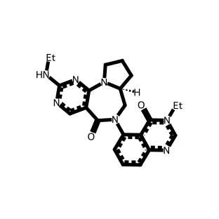 CCNc1ncc2c(n1)N1CCC[C@H]1CN(c1cccc3ncn(CC)c(=O)c13)C2=O